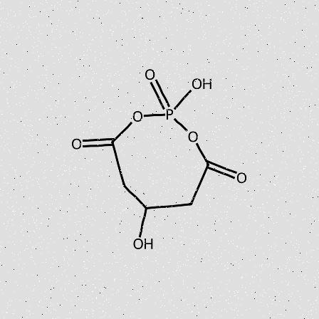 O=C1CC(O)CC(=O)OP(=O)(O)O1